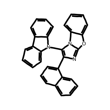 c1ccc2c(-c3nc4oc5ccccc5n4c3-n3c4ccccc4c4ccccc43)cccc2c1